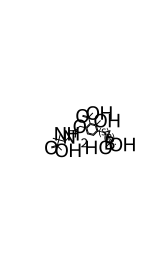 CC(N)(CN1CC(Oc2ccc([C@H]3C[C@H]3B(O)O)c(O)c2C(=O)O)C1)C(=O)O